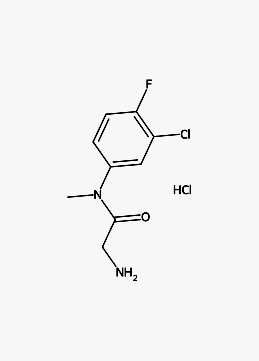 CN(C(=O)CN)c1ccc(F)c(Cl)c1.Cl